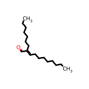 CCCCCCCC/C=C(/C=O)CCCCCCC